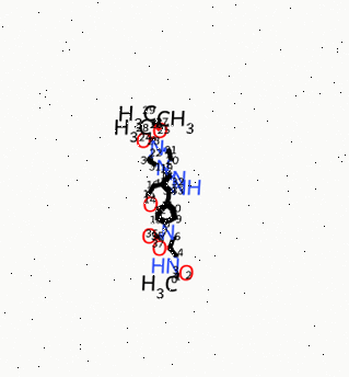 CC(=O)NCC1CN(c2ccc3c(c2)OCCc2c(N4CCN(C(=O)OC(C)(C)C)CC4)n[nH]c2-3)C(=O)O1